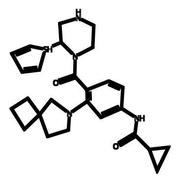 O=C(Nc1ccc(C(=O)N2CCNCC2[SH]2C=CC=C2)c(N2CCC3(CCC3)C2)c1)C1CC1